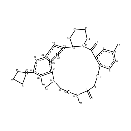 C=C1CCc2ccc(C)cc2C(=C)N2CCCCC2c2cc3nc(N4CCC4)c(C)c(n3n2)N(C)CCN1C